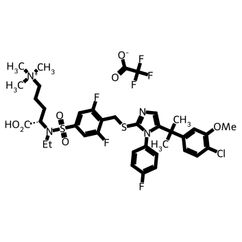 CCN([C@@H](CCC[N+](C)(C)C)C(=O)O)S(=O)(=O)c1cc(F)c(CSc2ncc(C(C)(C)c3ccc(Cl)c(OC)c3)n2-c2ccc(F)cc2)c(F)c1.O=C([O-])C(F)(F)F